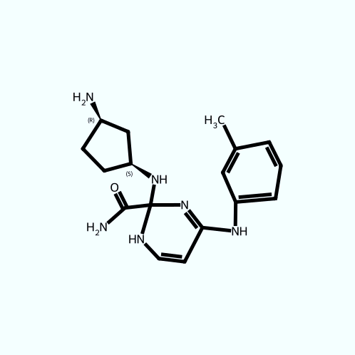 Cc1cccc(NC2=NC(N[C@H]3CC[C@@H](N)C3)(C(N)=O)NC=C2)c1